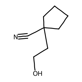 N#CC1(CCO)CCCC1